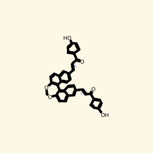 O=C(/C=C/c1ccc2c3c(ccc2c1)OCOc1ccc2cc(/C=C/C(=O)c4ccc(O)cc4)ccc2c1-3)c1ccc(O)cc1